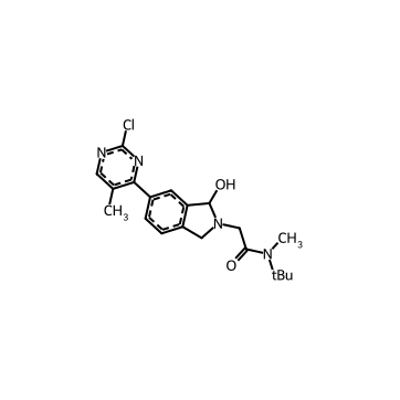 Cc1cnc(Cl)nc1-c1ccc2c(c1)C(O)N(CC(=O)N(C)C(C)(C)C)C2